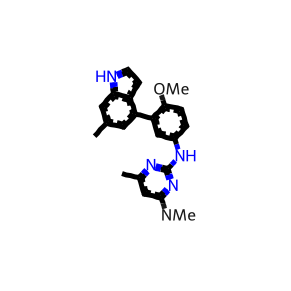 CNc1cc(C)nc(Nc2ccc(OC)c(-c3cc(C)cc4[nH]ccc34)c2)n1